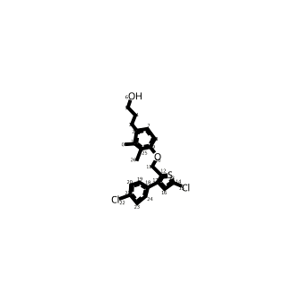 Cc1c(CCCO)ccc(OCc2sc(Cl)cc2-c2ccc(Cl)cc2)c1C